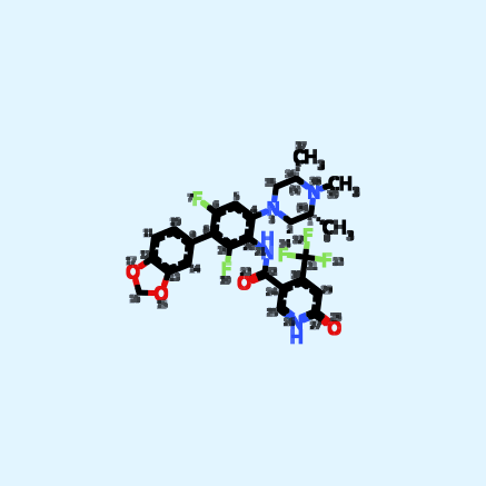 C[C@@H]1CN(c2cc(F)c(-c3ccc4c(c3)OCO4)c(F)c2NC(=O)c2c[nH]c(=O)cc2C(F)(F)F)C[C@H](C)N1C